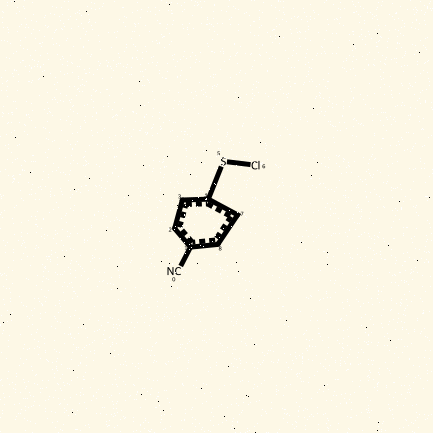 N#Cc1ccc(SCl)cc1